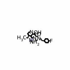 CCc1ccnc2c(O)c3n(/c(=N\N)c12)CCN(CCc1ccc(F)cc1)C3=O